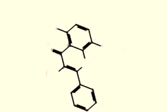 CCCCc1ccc(C(=O)O)c2oc(-c3ccccc3)c(C)c(=O)c12